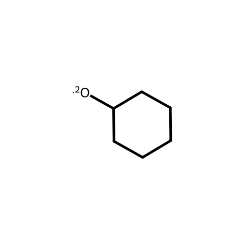 [2O]C1CCCCC1